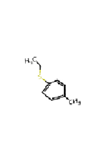 CCSc1[c]cc(C)cc1